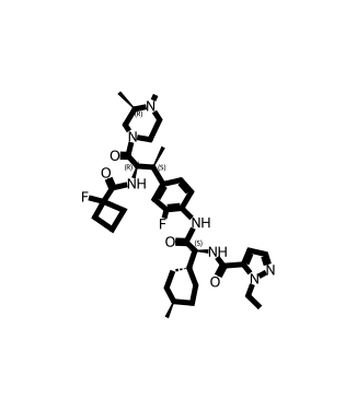 CCn1nccc1C(=O)N[C@H](C(=O)Nc1ccc([C@H](C)[C@@H](NC(=O)C2(F)CCC2)C(=O)N2CCN(C)[C@H](C)C2)cc1F)[C@H]1CC[C@H](C)CC1